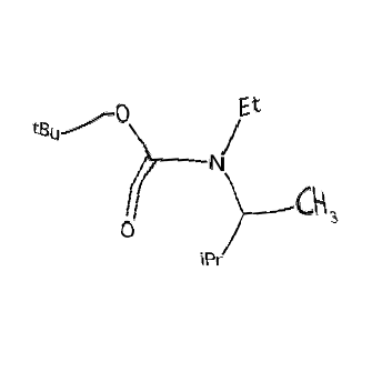 CCN(C(=O)OC(C)(C)C)C(C)C(C)C